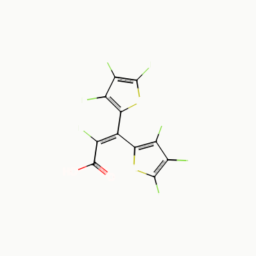 O=C(O)C(F)=C(c1sc(F)c(F)c1F)c1sc(F)c(F)c1F